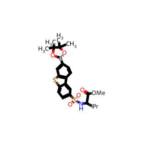 COC(=O)C(NS(=O)(=O)c1ccc2sc3cc(B4OC(C)(C)C(C)(C)O4)ccc3c2c1)C(C)C